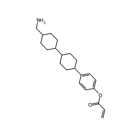 C=CC(=O)Oc1ccc(C2CCC(C3CCC(CN)CC3)CC2)cc1